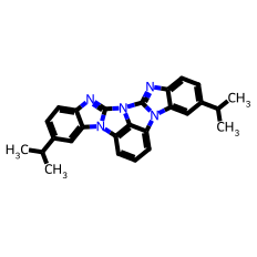 CC(C)c1ccc2nc3n(c2c1)c1cccc2c1n3c1nc3ccc(C(C)C)cc3n21